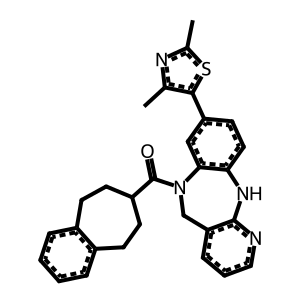 Cc1nc(C)c(-c2ccc3c(c2)N(C(=O)C2CCc4ccccc4CC2)Cc2cccnc2N3)s1